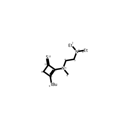 CCN(CC)CCN(C)C1=C(C(C)(C)C)CC1=S